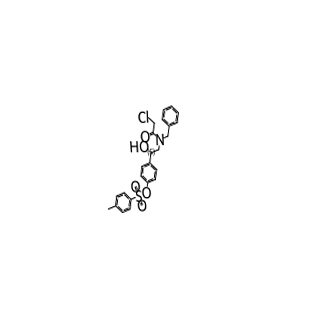 Cc1ccc(S(=O)(=O)Oc2ccc([C@H](O)CN(Cc3ccccc3)C(=O)CCl)cc2)cc1